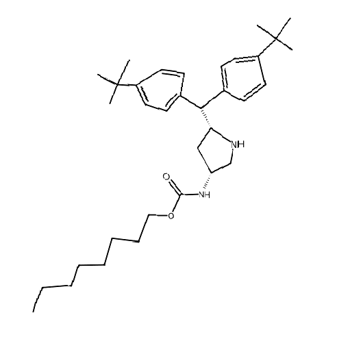 CCCCCCCCOC(=O)N[C@H]1CN[C@@H](C(c2ccc(C(C)(C)C)cc2)c2ccc(C(C)(C)C)cc2)C1